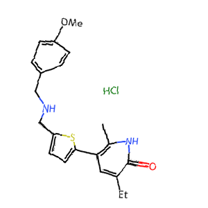 CCc1cc(-c2ccc(CNCc3ccc(OC)cc3)s2)c(C)[nH]c1=O.Cl